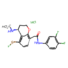 Cl.O=C(O)N[C@H]1CCOc2c(C(=O)Nc3ccc(F)c(F)c3)ccc(SF)c21